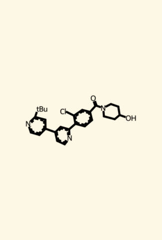 CC(C)(C)c1cc(-c2ccnc(-c3ccc(C(=O)N4CCC(O)CC4)cc3Cl)c2)ccn1